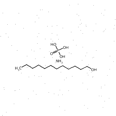 CCCCCCCCCCCCO.N.O=P(O)(O)O